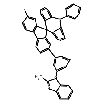 Cc1nc2ccccc2n1-c1cccc(-c2ccc3c(c2)C2(c4cc(F)ccc4-3)c3ccccc3N(c3ccccc3)c3ccccc32)c1